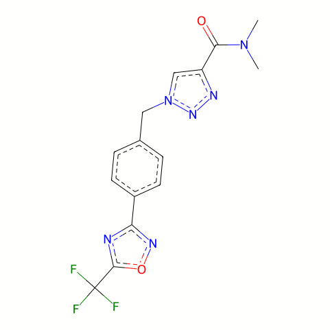 CN(C)C(=O)c1cn(Cc2ccc(-c3noc(C(F)(F)F)n3)cc2)nn1